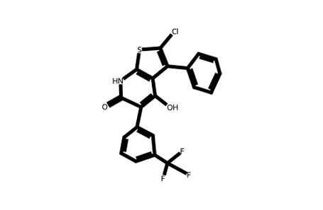 O=c1[nH]c2sc(Cl)c(-c3ccccc3)c2c(O)c1-c1cccc(C(F)(F)F)c1